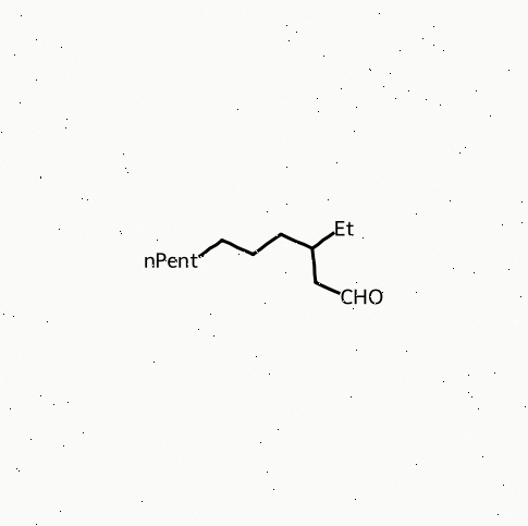 CCCCCCCCC(CC)CC=O